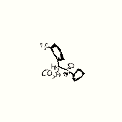 O=C(O)NC(c1cccc(C(F)(F)F)c1)S(=O)(=O)c1ccccc1